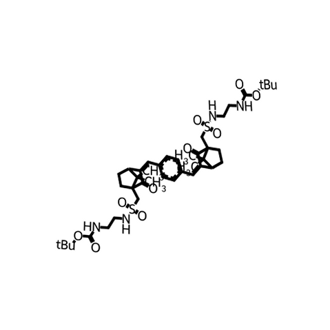 CC(C)(C)OC(=O)NCCNS(=O)(=O)CC12CCC(/C(=C/c3ccc(/C=C4\C(=O)C5(CS(=O)(=O)NCCNC(=O)OC(C)(C)C)CCC4C5(C)C)cc3)C1=O)C2(C)C